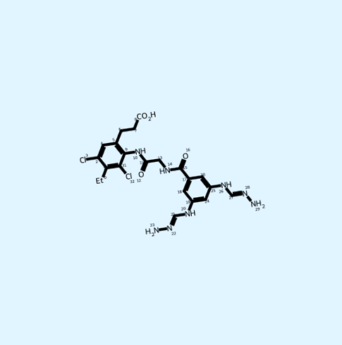 CCc1c(Cl)cc(CCC(=O)O)c(NC(=O)CNC(=O)c2cc(NC=NN)cc(NC=NN)c2)c1Cl